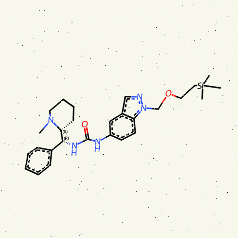 CN1CCCC[C@@H]1[C@H](NC(=O)Nc1ccc2c(cnn2COCC[Si](C)(C)C)c1)c1ccccc1